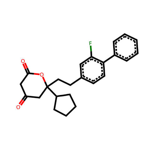 O=C1CC(=O)OC(CCc2ccc(-c3ccccc3)c(F)c2)(C2CCCC2)C1